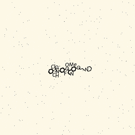 COc1cc2c(Oc3ccc(N[S+]([O-])c4c(Cl)cccc4Cl)cc3F)ccnc2cc1OCCCN1CCCCC1